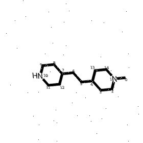 CN1CCC(CCC2CCNCC2)CC1